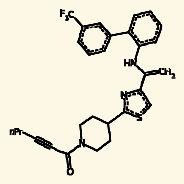 C=C(Nc1ccccc1-c1cccc(C(F)(F)F)c1)c1csc(C2CCN(C(=O)C#CCCC)CC2)n1